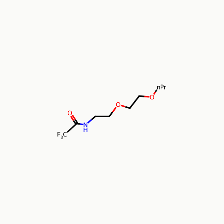 CCCOCCOCCNC(=O)C(F)(F)F